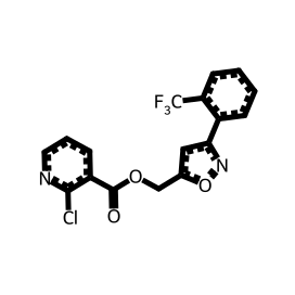 O=C(OCc1cc(-c2ccccc2C(F)(F)F)no1)c1cccnc1Cl